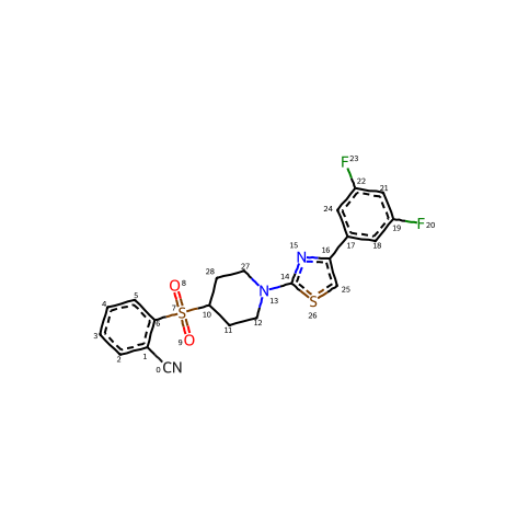 N#Cc1ccccc1S(=O)(=O)C1CCN(c2nc(-c3cc(F)cc(F)c3)cs2)CC1